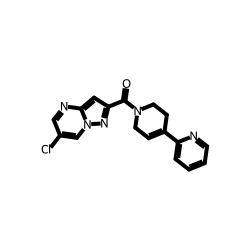 O=C(c1cc2ncc(Cl)cn2n1)N1CC=C(c2ccccn2)CC1